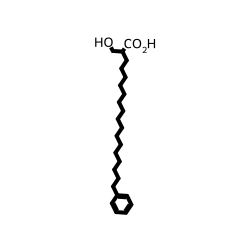 O=C(O)C(CO)CCCCCCCCCCCCCCCCc1ccccc1